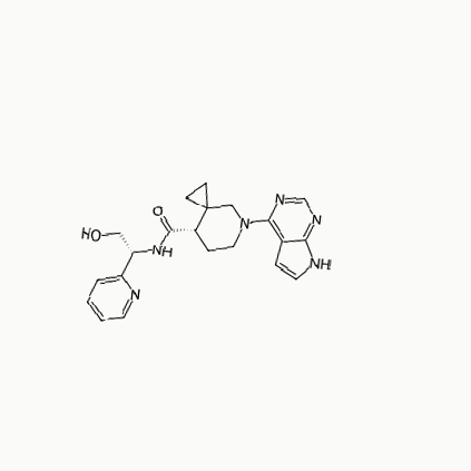 O=C(N[C@@H](CO)c1ccccn1)[C@H]1CCN(c2ncnc3[nH]ccc23)CC12CC2